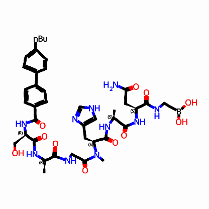 CCCCc1ccc(-c2ccc(C(=O)N[C@H](CO)C(=O)N[C@H](C)C(=O)NCC(=O)N(C)[C@@H](Cc3c[nH]cn3)C(=O)N[C@@H](C)C(=O)N[C@@H](CC(N)=O)C(=O)NCB(O)O)cc2)cc1